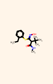 CCc1ccccc1SC(=NO)C(C(=O)NC)C(C)(C)C